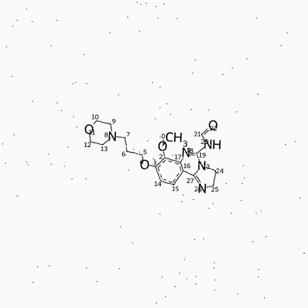 COc1c(OCCCN2CCOCC2)ccc2c1N=C(NC=O)N1CCN=C21